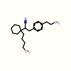 CCCCCC1(C(C#N)Cc2ccc(CCC)cc2)CCCCC1